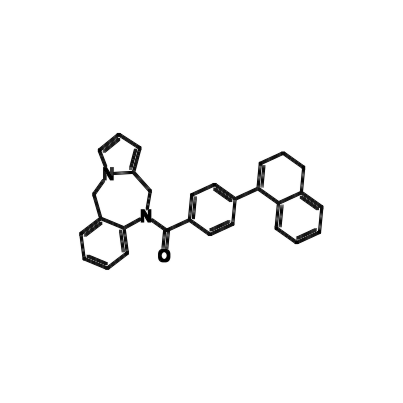 O=C(c1ccc(C2=CCCc3ccccc32)cc1)N1Cc2cccn2Cc2ccccc21